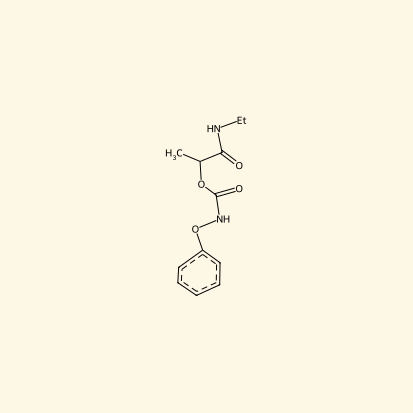 CCNC(=O)C(C)OC(=O)NOc1ccccc1